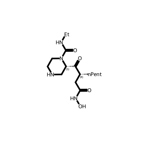 CCCCC[C@H](CC(=O)NO)C(=O)[C@@H]1CNCCN1C(=O)NCC